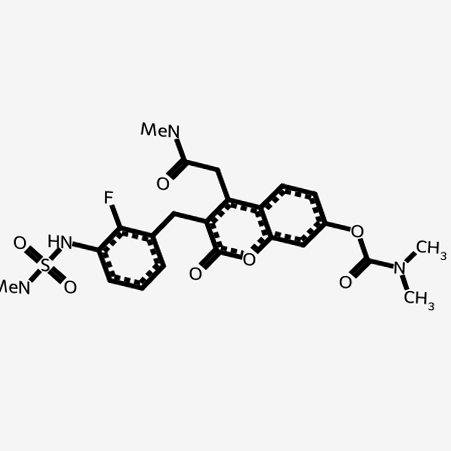 CNC(=O)Cc1c(Cc2cccc(NS(=O)(=O)NC)c2F)c(=O)oc2cc(OC(=O)N(C)C)ccc12